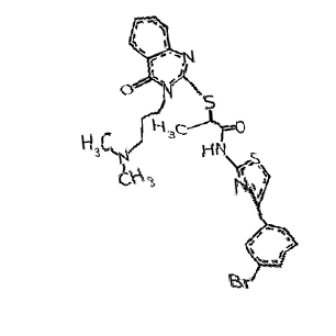 CC(Sc1nc2ccccc2c(=O)n1CCCN(C)C)C(=O)Nc1nc(-c2cccc(Br)c2)cs1